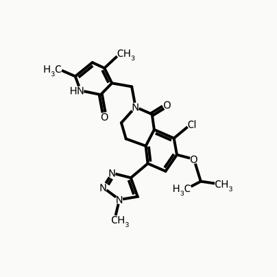 Cc1cc(C)c(CN2CCc3c(-c4cn(C)nn4)cc(OC(C)C)c(Cl)c3C2=O)c(=O)[nH]1